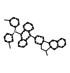 Cc1cccc(N(c2cccc(C)c2)c2c3ccccc3c(-c3ccc4c(c3)CC(C)c3cc5ccccc5cc3-4)c3ccccc23)c1